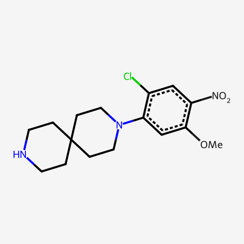 COc1cc(N2CCC3(CCNCC3)CC2)c(Cl)cc1[N+](=O)[O-]